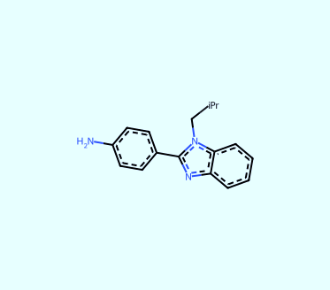 CC(C)Cn1c(-c2ccc(N)cc2)nc2ccccc21